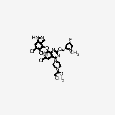 C=CC(=O)N1CCN(c2nc(OC[C@@H]3C[C@H](F)CN3C)nc3c(Oc4c(C)c(Cl)cc5[nH]ncc45)nc(Cl)cc23)CC1